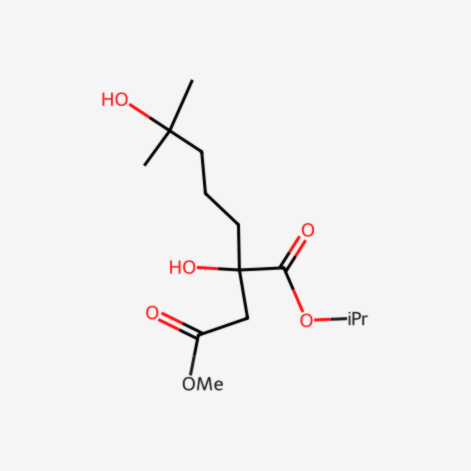 COC(=O)CC(O)(CCCC(C)(C)O)C(=O)OC(C)C